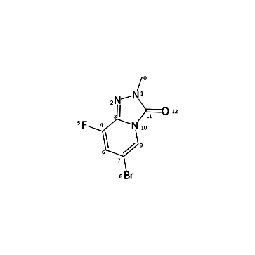 Cn1nc2c(F)cc(Br)cn2c1=O